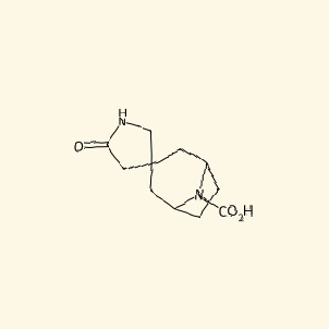 O=C1CC2(CN1)CC1CCC(C2)N1C(=O)O